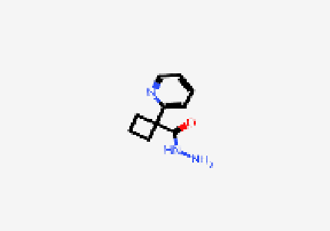 NNC(=O)C1(c2ccccn2)CCC1